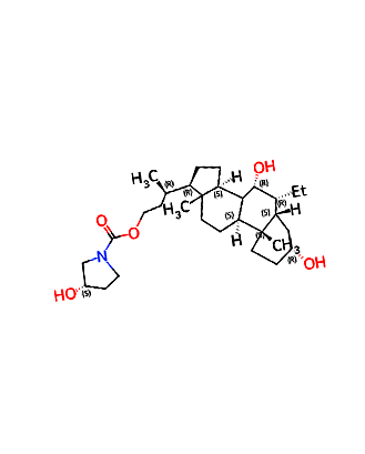 CC[C@H]1[C@@H](O)C2[C@@H]3CC[C@H]([C@H](C)CCOC(=O)N4CC[C@H](O)C4)C3(C)CC[C@@H]2[C@@]2(C)CC[C@@H](O)C[C@@H]12